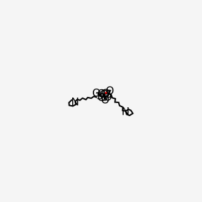 O=S(=O)(CCCCCCCCN1CCCCC1)OS(=O)(=O)OS(=O)(=O)CCCCCCCCN1CCCCC1